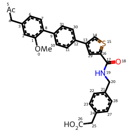 COc1cc(CC(C)=O)ccc1-c1ccc(-c2csc(C(=O)NCc3ccc(CC(=O)O)cc3)c2)cc1